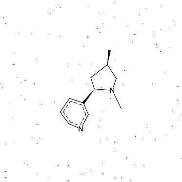 C[C@@H]1C[C@H](c2cccnc2)N(C)C1